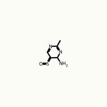 CC1=NC(N)C(=S=O)C=N1